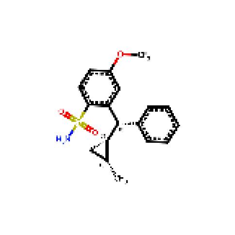 C[C@@H]1C[C@@H]1[C@@H](c1ccccc1)c1cc(OC(F)(F)F)ccc1S(N)(=O)=O